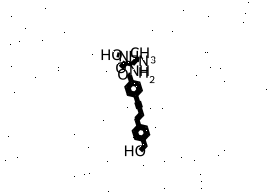 C[C@@H](N)C(NC(=O)c1ccc(C#C/C=C/c2ccc(CO)cc2)cc1)C(=O)NO